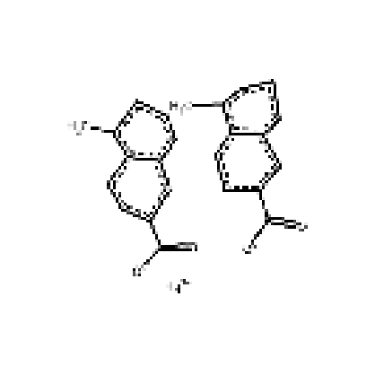 Cc1cccc2cc(C(=O)[O-])ccc12.Cc1cccc2cc(C(=O)[O-])ccc12.[Hg+2]